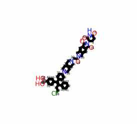 O=C1CCC(N2C(=O)c3cc4c(cc3C2=O)CN(C(=O)CN2CCC3(CC2)CCN(c2ccc(C(=C(CCCl)c5ccccc5)c5ccc(B(O)O)cc5)cc2)CC3)C4)C(=O)N1